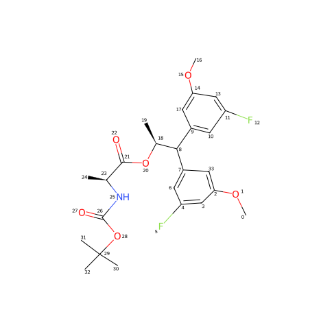 COc1cc(F)cc(C(c2cc(F)cc(OC)c2)[C@H](C)OC(=O)[C@H](C)NC(=O)OC(C)(C)C)c1